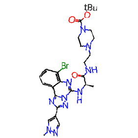 C[C@@H](Nc1nc2c(Br)cccc2c2nc(-c3cnn(C)c3)nn12)C(=O)NCCN1CCN(C(=O)OC(C)(C)C)CC1